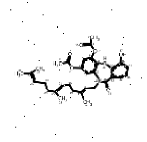 CC(=O)Oc1cc(OC(C)=O)c2c(c1)N(C/C=C(\C)CC/C=C(\C)CCC=C(C)C)C(=O)c1cccc(O)c1N2